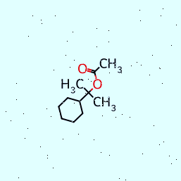 CC(=O)OC(C)(C)C1CCCCC1